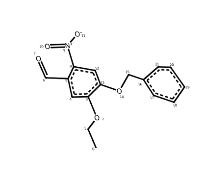 CCOc1cc(C=O)c([N+](=O)[O-])cc1OCc1ccccc1